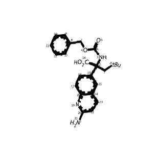 CC(C)(C)CC(NC(=O)OCc1ccccc1)(C(=O)O)c1ccc2nc(N)ccc2c1